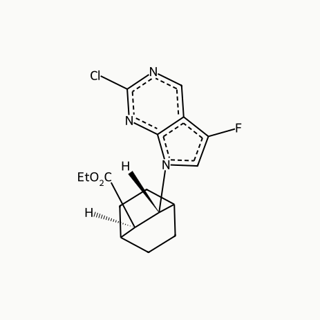 CCOC(=O)[C@@H]1C2CCC(CC2)[C@H]1n1cc(F)c2cnc(Cl)nc21